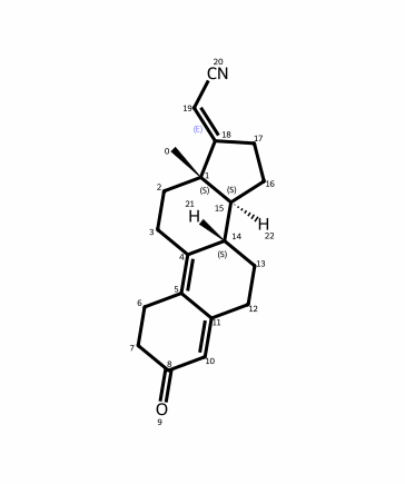 C[C@]12CCC3=C4CCC(=O)C=C4CC[C@H]3[C@@H]1CC/C2=C\C#N